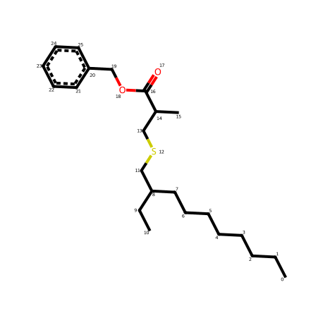 CCCCCCCCC(CC)CSCC(C)C(=O)OCc1ccccc1